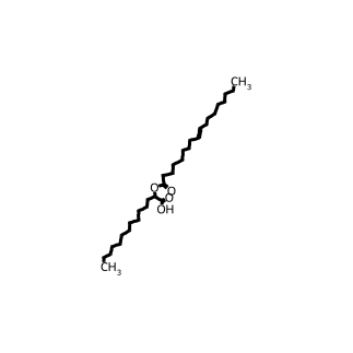 CCCCCCCCC=CCCCCCCCC(=O)OC(CCCCCCCCCCCC)C(=O)O